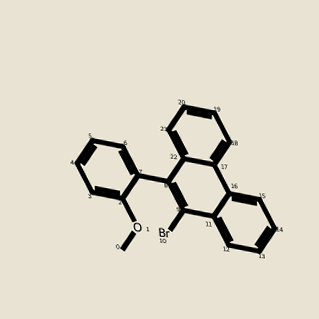 COc1ccccc1-c1c(Br)c2ccccc2c2ccccc12